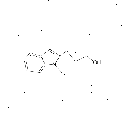 Cn1c(CCCO)cc2ccccc21